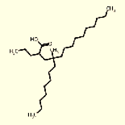 CCCCCCCCCCC(C)(CCCCCCCC)CC(CCC)C(=O)O